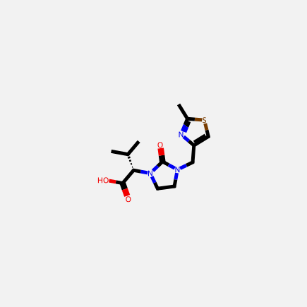 Cc1nc(CN2CCN([C@H](C(=O)O)C(C)C)C2=O)cs1